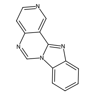 c1ccc2c(c1)nc1c3cnccc3ncn21